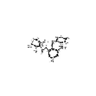 CC(C)c1cc(Cl)cc(CC(C)c2c(C(F)(F)F)ccc(Cl)c2F)c1Oc1ccccc1